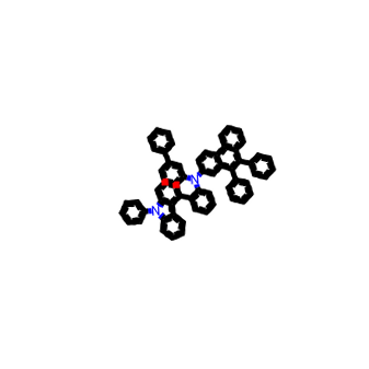 c1ccc(-c2cccc(N(c3ccc4c(c3)c(-c3ccccc3)c(-c3ccccc3)c3ccccc34)c3ccccc3-c3cccc4c3c3ccccc3n4-c3ccccc3)c2)cc1